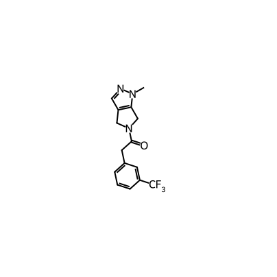 Cn1ncc2c1CN(C(=O)Cc1cccc(C(F)(F)F)c1)C2